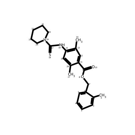 Cc1ccccc1COC(=O)c1cc(C)c(NC(=S)N2CCCCC2)cc1C